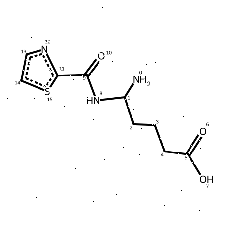 NC(CCCC(=O)O)NC(=O)c1nccs1